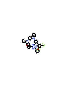 FC(F)(F)c1cc(-c2ccc(-n3c4ccccc4c4ccc(-n5c6ccccc6c6ccccc65)cc43)cc2-c2nc(-c3ccccc3)nc(-c3ccccc3)n2)cc(C(F)(F)F)c1